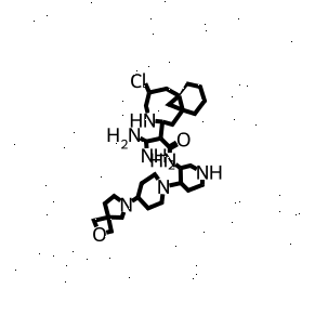 NC(N)C(C(=O)NC1CNCCC1N1CCC(N2CCC3(COC3)C2)CC1)C1CC23CCCC[C@]2(CC(Cl)CN1)C3